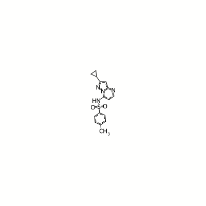 Cc1ccc(S(=O)(=O)Nc2ccnc3cc(C4CC4)nn23)cc1